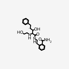 NC(=O)c1ccccc1CCNC(=O)C(NCCO)C(O)[CH]Cc1ccccc1